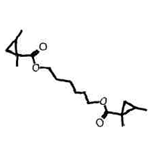 CC1CC1(C)C(=O)OCCCCCCOC(=O)C1(C)CC1C